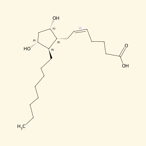 CCCCCCCC[C@@H]1[C@@H](C/C=C\CCCC(=O)O)[C@@H](O)C[C@H]1O